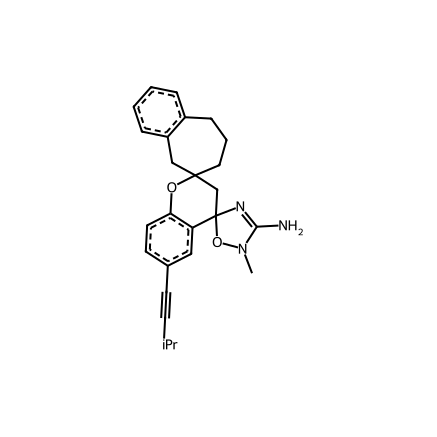 CC(C)C#Cc1ccc2c(c1)C1(CC3(CCCc4ccccc4C3)O2)N=C(N)N(C)O1